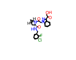 O=C(CO)c1nn(CC(=O)N2[C@@H]3C[C@@H]3C[C@H]2C(=O)NCc2cccc(Cl)c2F)c2ccccc12